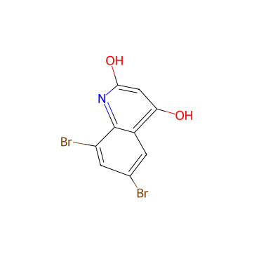 Oc1cc(O)c2cc(Br)cc(Br)c2n1